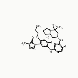 Cn1nnn(-c2cc(Nc3ncc(F)c(N[C@@H]4C[C@H]5CCCN5C(C)(C)C4)n3)c(F)cc2OCCN)c1=O